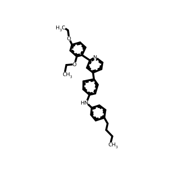 CCCCc1ccc(Nc2ccc(-c3ccnc(-c4ccc(OCC)cc4OCC)c3)cc2)cc1